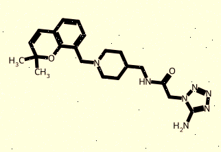 CC1(C)C=Cc2cccc(CN3CCC(CNC(=O)Cn4nnnc4N)CC3)c2O1